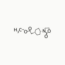 CCOC(=O)C[C@H]1CC[C@H](N2CCOC2=O)CC1